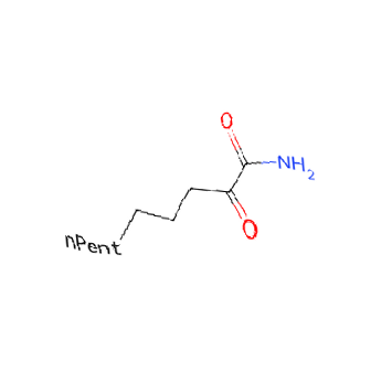 CCCCCCCCC(=O)C(N)=O